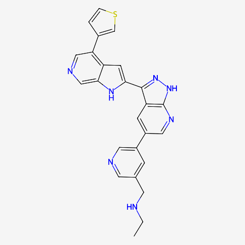 CCNCc1cncc(-c2cnc3[nH]nc(-c4cc5c(-c6ccsc6)cncc5[nH]4)c3c2)c1